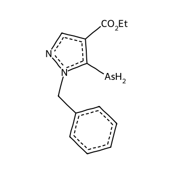 CCOC(=O)c1cnn(Cc2ccccc2)c1[AsH2]